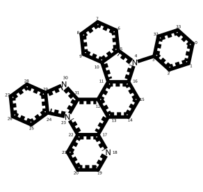 c1ccc(-n2c3ccccc3c3c4c(ccc32)c2ncccc2n2c3ccccc3nc42)cc1